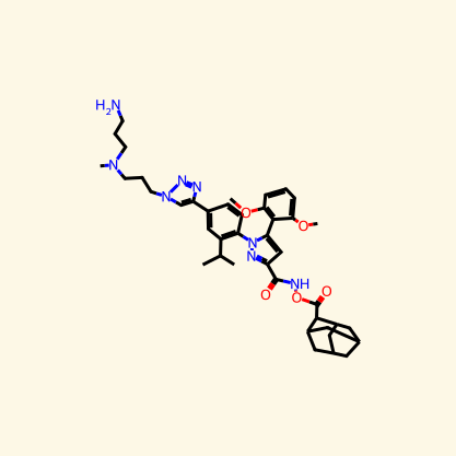 COc1cccc(OC)c1-c1cc(C(=O)NOC(=O)C2C3CC4CC(C3)CC2C4)nn1-c1ccc(-c2cn(CCCN(C)CCCN)nn2)cc1C(C)C